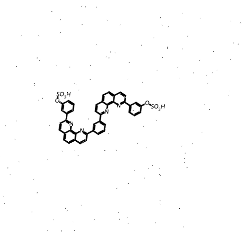 O=S(=O)(O)Oc1cccc(-c2ccc3ccc4ccc(-c5cccc(-c6ccc7ccc8ccc(-c9cccc(OS(=O)(=O)O)c9)nc8c7n6)c5)nc4c3n2)c1